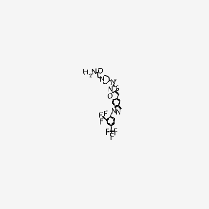 CN(C1=NC(=O)/C(=C\c2ccc3c(cnn3Cc3ccc(C(F)(F)F)cc3C(F)(F)F)c2)S1)C1CCN(CC(N)=O)CC1